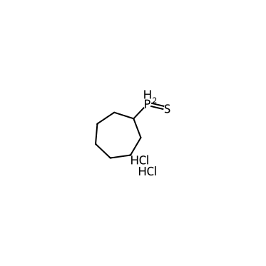 Cl.Cl.S=[PH2]C1CCCCCC1